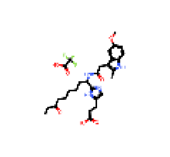 CCC(=O)CCCCCC(NC(=O)Cc1c(C)[nH]c2ccc(OC)cc12)c1ncc(CCC(=O)O)[nH]1.O=C(O)C(F)(F)F